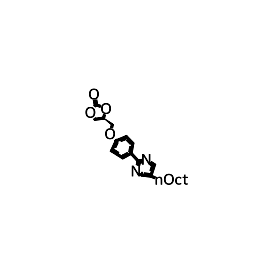 CCCCCCCCc1cnc(-c2ccc(OC[C@H]3COC(=O)O3)cc2)nc1